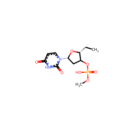 CC[C@H]1O[C@@H](n2ccc(=O)[nH]c2=O)CC1OP(=O)(O)OC